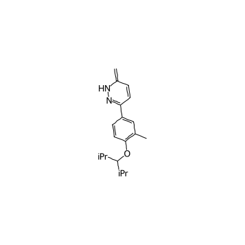 C=C1C=CC(c2ccc(OC(C(C)C)C(C)C)c(C)c2)=NN1